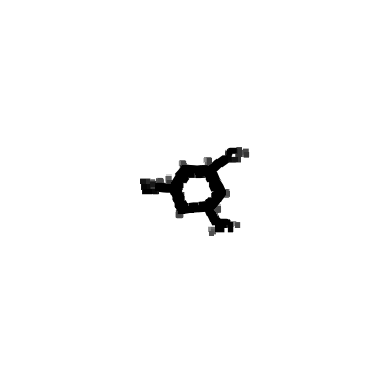 CCc1cc(Cl)cc([C](C)C)c1